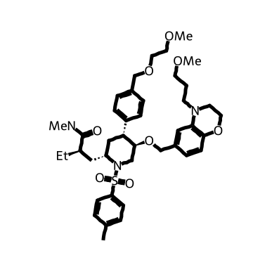 CC[C@H](C[C@@H]1C[C@H](c2ccc(COCCOC)cc2)[C@@H](OCc2ccc3c(c2)N(CCCOC)CCO3)CN1S(=O)(=O)c1ccc(C)cc1)C(=O)NC